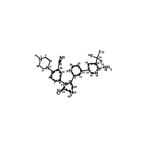 CN1CCN(c2ccc(-n3c(-c4cc(-c5cnc(N)c(C(F)(F)F)c5)ccn4)cn(C)c3=O)cc2C#N)CC1